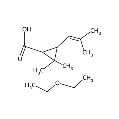 CC(C)=CC1C(C(=O)O)C1(C)C.CCOCC